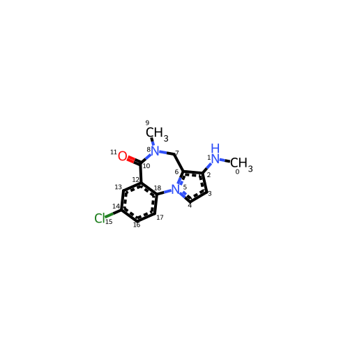 CNc1ccn2c1CN(C)C(=O)c1cc(Cl)ccc1-2